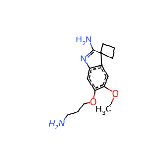 COc1cc2c(cc1OCCCN)N=C(N)C21CCC1